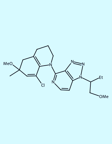 CCC(COC)n1nnc2c(N3CCCC4=C3C(Cl)=CC(C)(OC)C4)nccc21